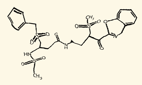 CS(=O)(=O)NC(CC(=O)NCCC(C(=O)c1nc2ccccc2o1)S(C)(=O)=O)S(=O)(=O)Cc1ccccc1